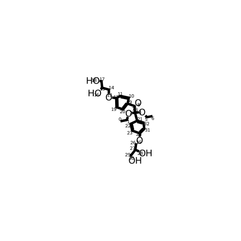 CCOC(OCC)(C(=O)c1ccc(OCC(O)CO)cc1)c1ccc(OCC(O)CO)cc1